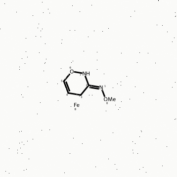 CON=C1CC=CON1.[Fe]